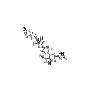 COc1ccc(CN(C)[C@H]2[C@@H]3CN(c4ccc(-c5cc(-c6cnn(C)c6)cn6ncc(C#N)c56)cn4)C[C@@H]32)cn1